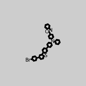 Brc1ccc(-c2ccc3sc4cc(-c5ccc(N(c6ccccc6)c6ccc(-c7nc8ccccc8o7)cc6)cc5)ccc4c3c2)cc1